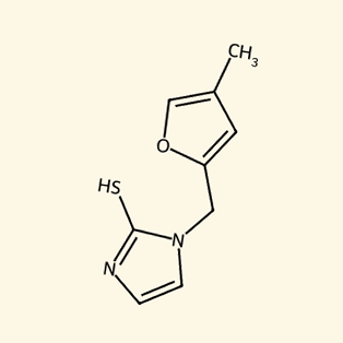 Cc1coc(Cn2ccnc2S)c1